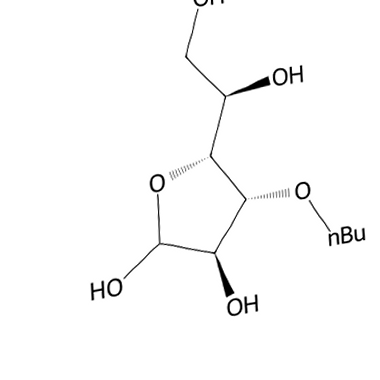 CCCCO[C@H]1[C@@H]([C@H](O)CO)OC(O)[C@@H]1O